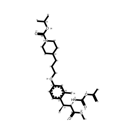 C=C(C)OC(=O)N[C@H](C(=O)OC)[C@@H](C)c1ccc(OCCCC2CCN(C(=O)OC(C)C)CC2)cc1F